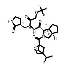 O=C1NCC[C@H]1C[C@H](NC(=O)[C@@H]1[C@H]2CCC[C@H]2CN1C(=O)C12CC(C(F)F)(CO1)C2)C(=O)COC(F)(F)F